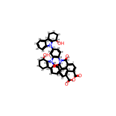 O=C1OC(=O)c2ccc3c4c(ccc1c24)C(=O)N(c1ccc(-n2c4c(c5ccccc52)CCCC4O)cc1-n1c2c(c4ccccc41)CCCC2O)C3=O